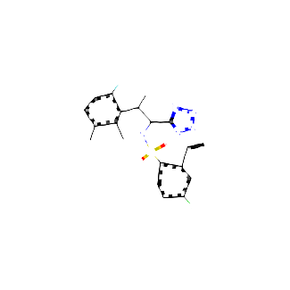 C=Cc1cc(Cl)ccc1S(=O)(=O)NC(c1nn[nH]n1)C(C)c1c(F)ccc(C)c1C